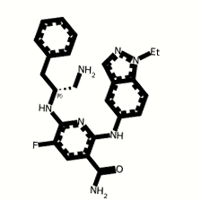 CCn1ncc2cc(Nc3nc(N[C@@H](CN)Cc4ccccc4)c(F)cc3C(N)=O)ccc21